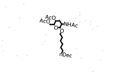 CCCCCCCCCCCCCCCCOC1OC(COC(C)=O)C(OC(C)=O)[CH]C1NC(C)=O